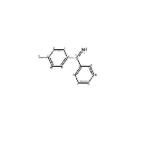 Cc1ccc(S(=N)c2ccccc2)cc1